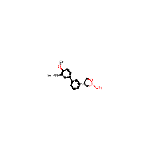 CCOc1ccc(-c2cccc([C@@H]3COB(O)C3)c2)cc1OC